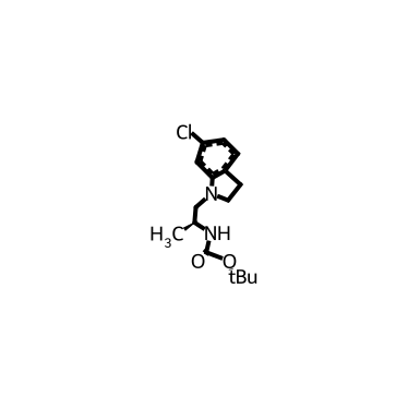 C[C@@H](CN1CCc2ccc(Cl)cc21)NC(=O)OC(C)(C)C